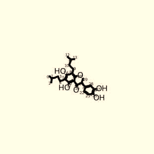 CC(C)CCc1c(O)c(CCC(C)C)c2c(c1O)C(=O)C(c1ccc(O)c(O)c1)CO2